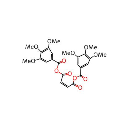 COc1cc(C(=O)OC(=O)/C=C\C(=O)OC(=O)c2cc(OC)c(OC)c(OC)c2)cc(OC)c1OC